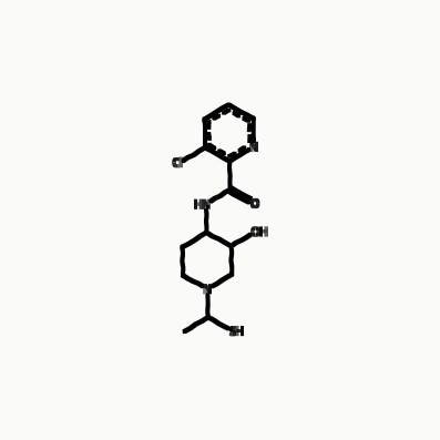 CC(S)N1CCC(NC(=O)c2ncccc2Cl)C(O)C1